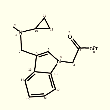 CCCC(=O)Cn1cc(CN(C)C2CC2)c2ccccc21